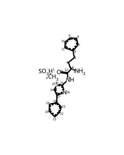 CS(=O)(=O)O.N[C@H](CCc1ccccc1)C(=O)Nc1nc(-c2ccccc2)cs1